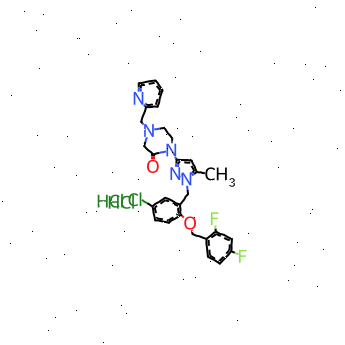 Cc1cc(N2CCN(Cc3ccccn3)CC2=O)nn1Cc1cc(Cl)ccc1OCc1ccc(F)cc1F.Cl.Cl